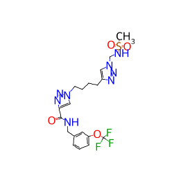 CS(=O)(=O)NCn1cc(CCCCn2cc(C(=O)NCc3cccc(OC(F)(F)F)c3)nn2)nn1